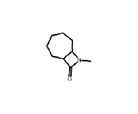 CN1C(=O)C2CCCCCC21